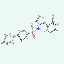 O=S(=O)(Nc1ccsc1-c1ccccc1Cl)c1ccc(-c2ccccc2)cc1